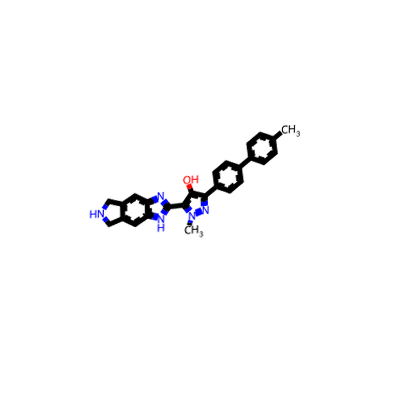 Cc1ccc(-c2ccc(-c3nn(C)c(-c4nc5cc6c(cc5[nH]4)CNC6)c3O)cc2)cc1